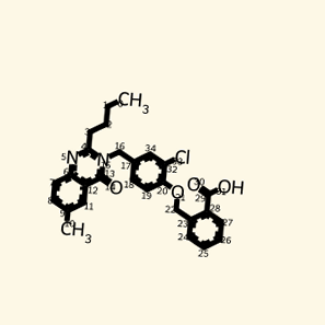 CCCCc1nc2ccc(C)cc2c(=O)n1Cc1ccc(OCc2ccccc2C(=O)O)c(Cl)c1